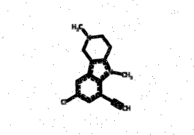 C#Cc1cc(Cl)cc2c3c(n(C)c12)CCN(C)C3